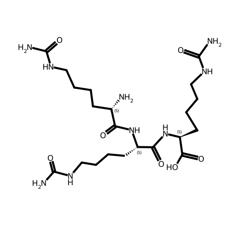 NC(=O)NCCCC[C@H](NC(=O)[C@H](CCCCNC(N)=O)NC(=O)[C@@H](N)CCCCNC(N)=O)C(=O)O